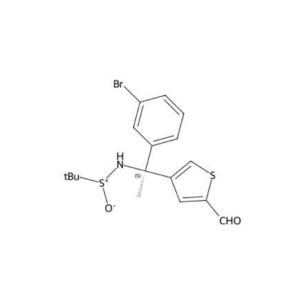 CC(C)(C)[S+]([O-])N[C@@](C)(c1cccc(Br)c1)c1csc(C=O)c1